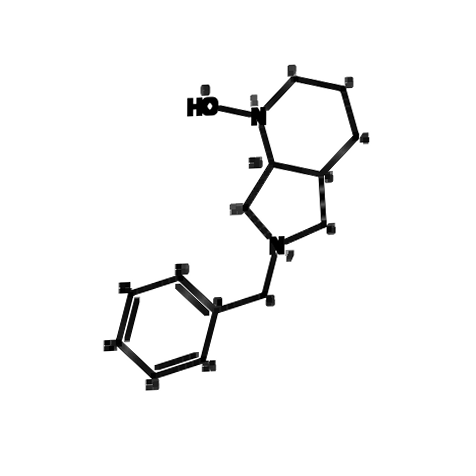 ON1CCCC2CN(Cc3ccccc3)CC21